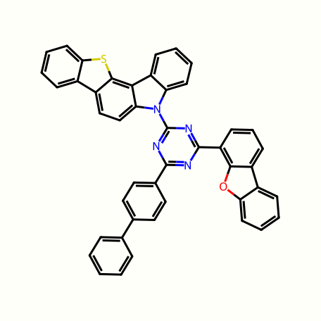 c1ccc(-c2ccc(-c3nc(-c4cccc5c4oc4ccccc45)nc(-n4c5ccccc5c5c6sc7ccccc7c6ccc54)n3)cc2)cc1